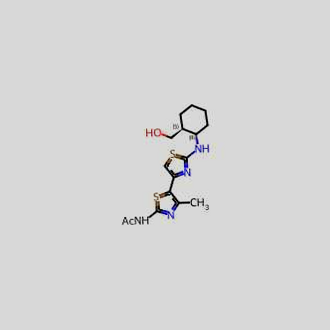 CC(=O)Nc1nc(C)c(-c2csc(N[C@@H]3CCCC[C@@H]3CO)n2)s1